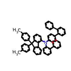 Cc1ccc(C2(c3ccc(C)cc3)c3ccccc3-c3c(N(c4ccc(-c5ccccc5-c5ccccc5)cc4)c4ccccc4-c4ccccc4)cccc32)cc1